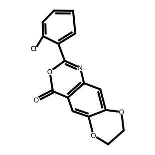 O=c1oc(-c2ccccc2Cl)nc2cc3c(cc12)OCCO3